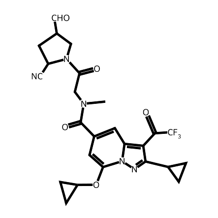 CN(CC(=O)N1CC(C=O)CC1C#N)C(=O)c1cc(OC2CC2)n2nc(C3CC3)c(C(=O)C(F)(F)F)c2c1